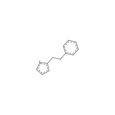 [CH](Cc1cccs1)c1ccccc1